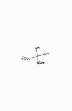 CCCCCCCCCC[P+](CCC)(CCC)CCCCCCCCCC.[Cl-]